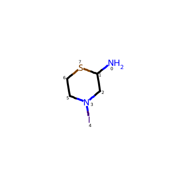 NC1CN(I)CCS1